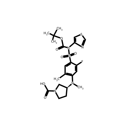 Cc1cc(S(=O)(=O)N(C(=O)OC(C)(C)C)c2cscn2)c(F)cc1N(C)[C@H]1CCN(C(=O)O)C1